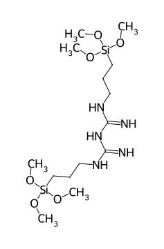 CO[Si](CCCNC(=N)NC(=N)NCCC[Si](OC)(OC)OC)(OC)OC